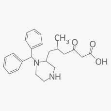 CC(CC(=O)CC(=O)O)CC1CNCCN1C(c1ccccc1)c1ccccc1